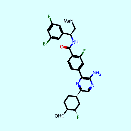 CNC[C@@H](NC(=O)c1ccc(-c2nc([C@H]3CC[C@H](C=O)[C@@H](F)C3)cnc2N)cc1F)c1cc(F)cc(Br)c1